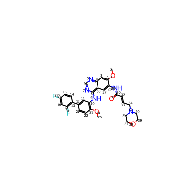 COc1cc2ncnc(Nc3cc(-c4ccc(F)cc4F)ccc3OC)c2cc1NC(=O)/C=C/CN1CCOCC1